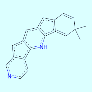 CC1(C)C=Cc2cc3cc4cc5cnccc5c4[nH]c3c2=C1